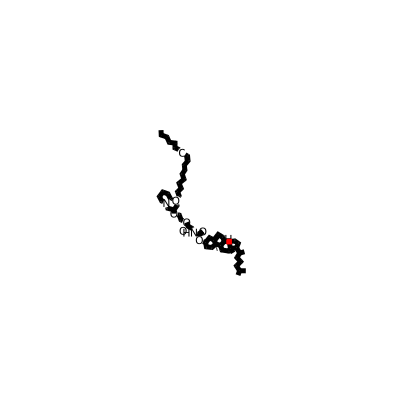 CCCCCCCC/C=C\CCCCCCCCOCC(CN1CCCCC1)OCCOC(=O)CNC(=O)OC1CC[C@@]2(C)C(=CC[C@H]3C4CCC(C(C)CCCC(C)C)C4(C)CCC32)C1